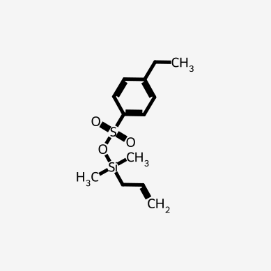 C=CC[Si](C)(C)OS(=O)(=O)c1ccc(CC)cc1